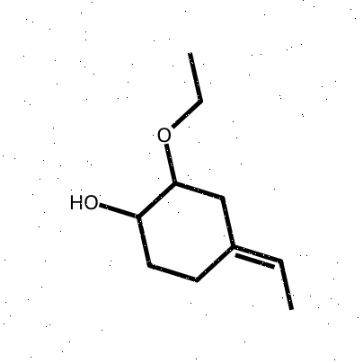 C/C=C1\CCC(O)C(OCC)C1